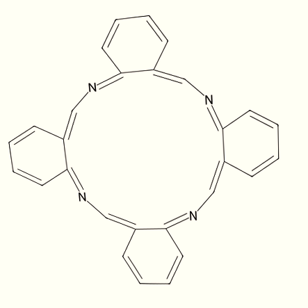 C1=c2ccccc2=NC=c2ccccc2=NC=c2ccccc2=NC=c2ccccc2=N1